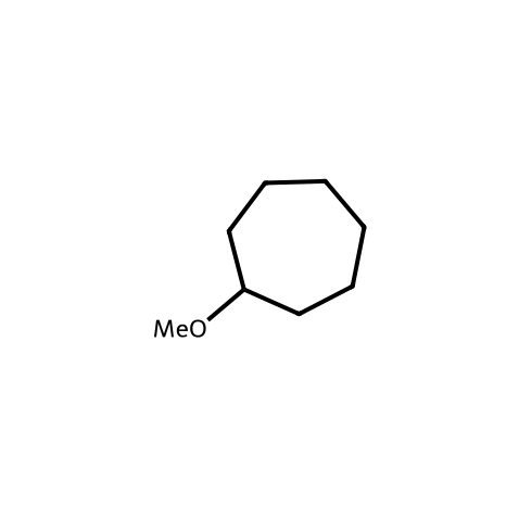 [CH2]OC1CCCCCC1